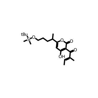 CC=C(C)C(=O)c1c(O)cc(C(C)CCCO[Si](C)(C)C(C)(C)C)oc1=O